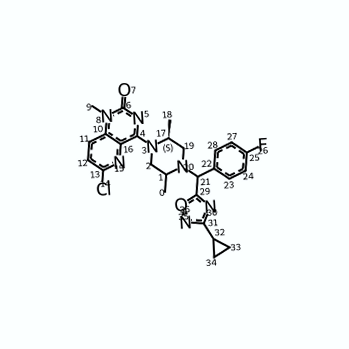 CC1CN(c2nc(=O)n(C)c3ccc(Cl)nc23)[C@@H](C)CN1C(c1ccc(F)cc1)c1nc(C2CC2)no1